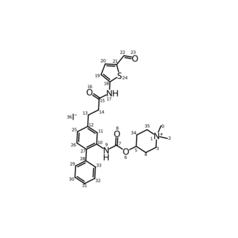 C[N+]1(C)CCC(OC(=O)Nc2cc(CCC(=O)Nc3ccc(C=O)s3)ccc2-c2ccccc2)CC1.[I-]